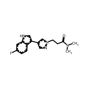 CN(C)C(=O)CCn1cc(-c2c[nH]c3cc(F)ccc23)cn1